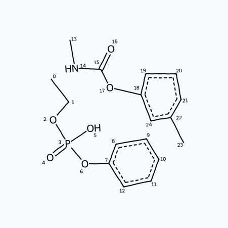 CCOP(=O)(O)Oc1ccccc1.CNC(=O)Oc1cccc(C)c1